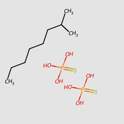 CCCCCCC(C)C.OP(O)(O)=S.OP(O)(O)=S